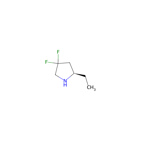 CC[C@@H]1CC(F)(F)CN1